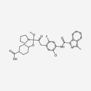 COC(OC1CCC(C(=O)O)CC1)(C(=O)Cc1cc(Cl)c(NC(=O)c2nn(C)c3ccccc23)cc1F)N1CCCC1